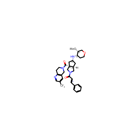 CO[C@@H]1COCC[C@@H]1N[C@@H]1C[C@H]2CN(C(=O)/C=C/c3ccccc3)C[C@@]2(C(=O)N2CCc3ncc(C(F)(F)F)cc3C2)C1